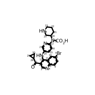 O=C(c1cnc2ccc(Br)cc2c1Nc1ccc(N(C(=O)O)C2CCCNC2)nc1)C1CC1